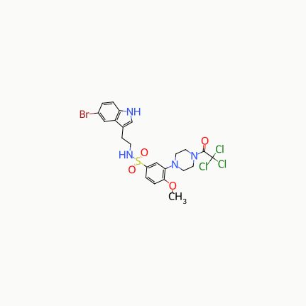 COc1ccc(S(=O)(=O)NCCc2c[nH]c3ccc(Br)cc23)cc1N1CCN(C(=O)C(Cl)(Cl)Cl)CC1